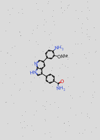 COc1cc(-c2cnc3[nH]cc(-c4ccc(C(N)=O)cc4)c3c2)ccc1N